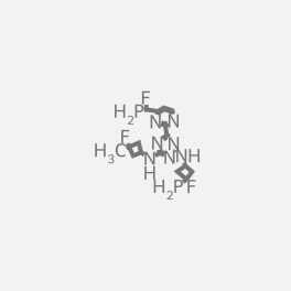 CC1(F)CC(Nc2nc(NC3CC(F)(P)C3)nc(-c3nccc(C(F)P)n3)n2)C1